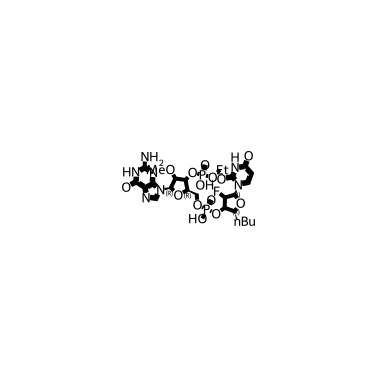 CCCC[C@H]1O[C@@H](n2ccc(=O)[nH]c2=O)C(F)C1OP(=O)(O)OC[C@H]1O[C@@H](n2cnc3c(=O)[nH]c(N)nc32)C(OC)C1OP(=O)(O)OCC